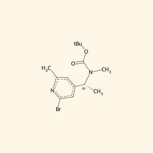 Cc1cc([C@@H](C)N(C)C(=O)OC(C)(C)C)cc(Br)n1